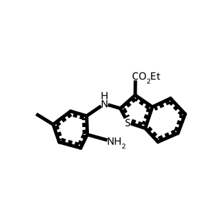 CCOC(=O)c1c(Nc2cc(C)ccc2N)sc2ccccc12